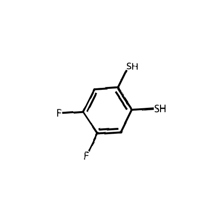 Fc1cc(S)c(S)cc1F